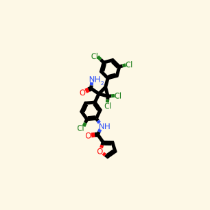 NC(=O)C1(c2ccc(Cl)c(NC(=O)c3ccco3)c2)C(c2cc(Cl)cc(Cl)c2)C1(Cl)Cl